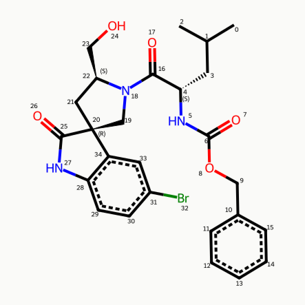 CC(C)C[C@H](NC(=O)OCc1ccccc1)C(=O)N1C[C@]2(C[C@H]1CO)C(=O)Nc1ccc(Br)cc12